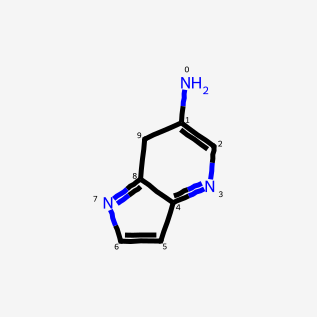 NC1=CN=C2C=CN=C2C1